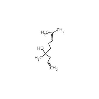 C=CCC(C)(O)CCC=C(C)C